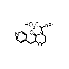 CCCC(C(=O)O)N1CCOC(Cc2ccncc2)C1=O